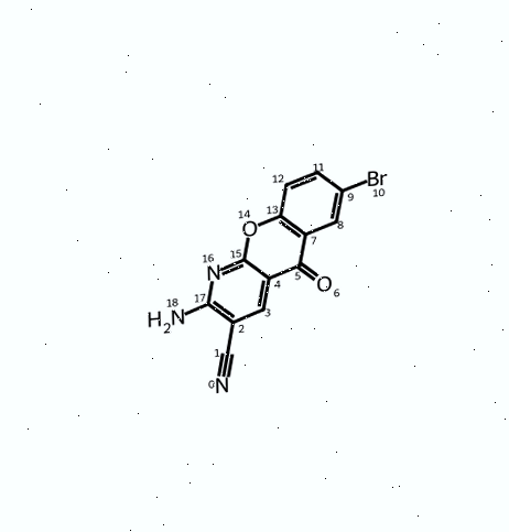 N#Cc1cc2c(=O)c3cc(Br)ccc3oc2nc1N